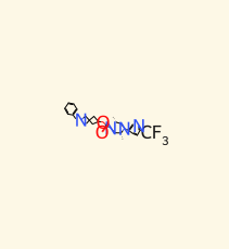 C[C@@H]1CN(c2ccc(C(F)(F)F)nc2)[C@H](C)CN1C(=O)OC1CC2(C1)CN(Cc1ccccc1)C2